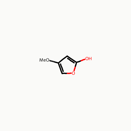 COc1coc(O)c1